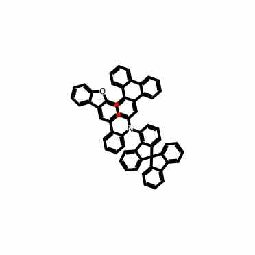 c1ccc(N(c2ccc3c4ccccc4c4ccccc4c3c2)c2cccc3c2-c2ccccc2C32c3ccccc3-c3ccccc32)c(-c2ccc3oc4ccccc4c3c2)c1